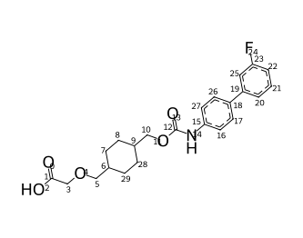 O=C(O)COCC1CCC(COC(=O)Nc2ccc(-c3cccc(F)c3)cc2)CC1